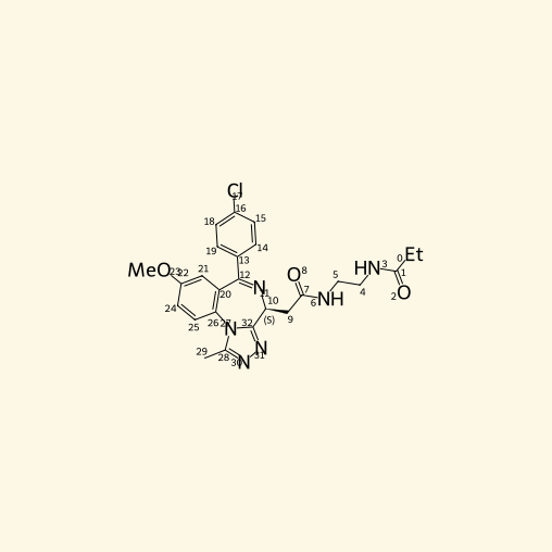 CCC(=O)NCCNC(=O)C[C@@H]1N=C(c2ccc(Cl)cc2)c2cc(OC)ccc2-n2c(C)nnc21